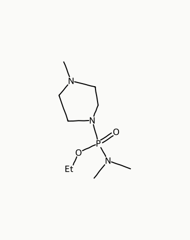 CCOP(=O)(N(C)C)N1CCN(C)CC1